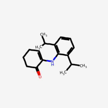 CC(C)c1cccc(C(C)C)c1NC1=CCCCC1=O